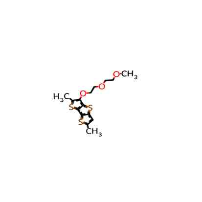 COCCOCCOc1c(C)sc2c1sc1cc(C)sc12